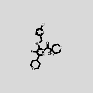 CC1(C(=O)n2nc(C3CCOCC3)c(F)c2NCc2ccc(Cl)s2)CCOCC1